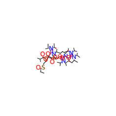 CCC(=O)SCCOCOP(N(C(C)C)C(C)C)N(C(C)C)C(C)CCC(C)N(C(C)C)P(OCOCCSC(=O)C(C)C)N(C(C)C)C(C)CCC(C)N(C(C)C)P(OCOCCSC(=O)C(C)(C)C)N(C(C)C)C(C)C